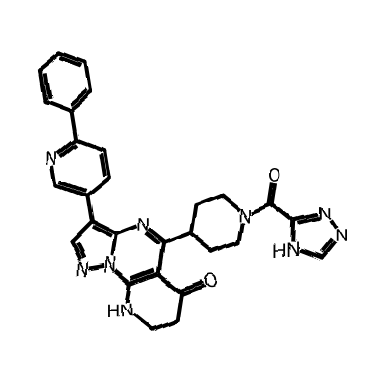 O=C1CCNc2c1c(C1CCN(C(=O)c3nnc[nH]3)CC1)nc1c(-c3ccc(-c4ccccc4)nc3)cnn21